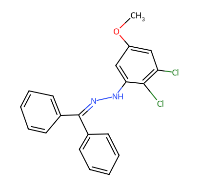 COc1cc(Cl)c(Cl)c(NN=C(c2ccccc2)c2ccccc2)c1